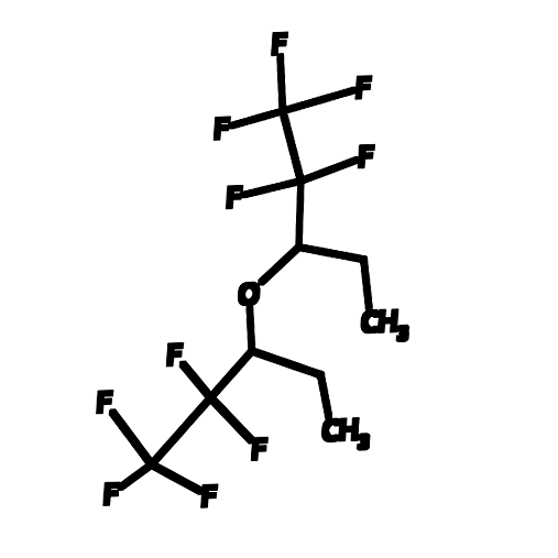 CCC(OC(CC)C(F)(F)C(F)(F)F)C(F)(F)C(F)(F)F